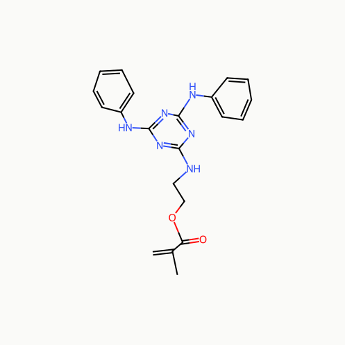 C=C(C)C(=O)OCCNc1nc(Nc2ccccc2)nc(Nc2ccccc2)n1